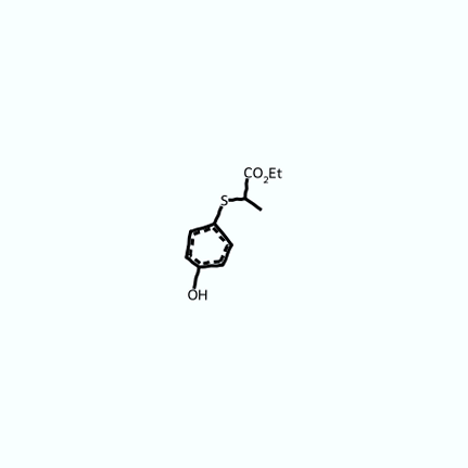 CCOC(=O)C(C)Sc1ccc(O)cc1